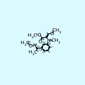 CO/C=C(/C(=O)OC)N(C)c1cccc(/C(C)=N/OC)c1